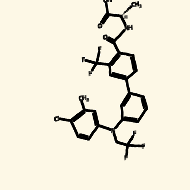 Cc1cc(N(CC(F)(F)F)c2cccc(-c3ccc(C(=O)N[C@@H](C)C(=O)O)c(C(F)(F)F)c3)c2)ccc1Cl